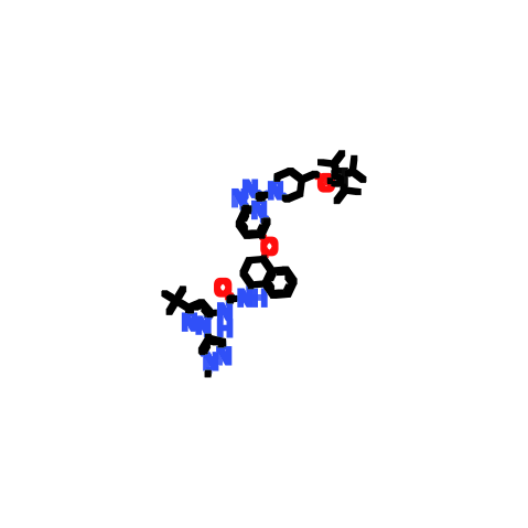 CC(C)[Si](OCC1CCN(c2nnc3ccc(O[C@@H]4CC[C@H](NC(=O)Nc5cc(C(C)(C)C)nn5-c5cnn(C)c5)c5ccccc54)cn23)CC1)(C(C)C)C(C)C